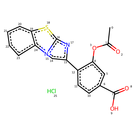 CC(=O)Oc1cc(C(=O)O)ccc1-c1cn2c(n1)sc1ccccc12.Cl